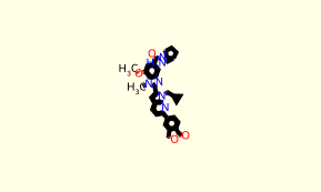 COc1cc(C(=O)N2CC3CCC2C3N)cc2nc(-c3cc4ccc(-c5ccc6c(c5)COC6=O)nc4n3CC3CC3)n(C)c12